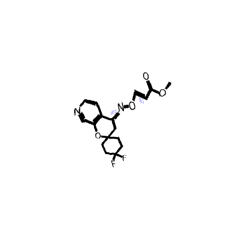 COC(=O)/C=C/O/N=C1\CC2(CCC(F)(F)CC2)Oc2cnccc21